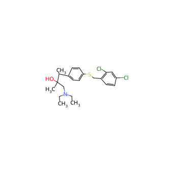 CCN(CC)CC(C)(O)C(C)c1ccc(SCc2ccc(Cl)cc2Cl)cc1